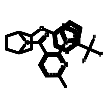 Cc1ccc(C(=O)N2C3CCC2C(Oc2cnc(C(F)(F)F)cn2)C3)c(-n2nccn2)n1